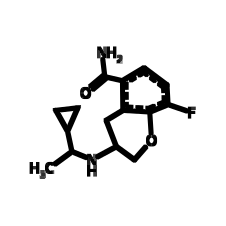 CC(NC1COc2c(F)ccc(C(N)=O)c2C1)C1CC1